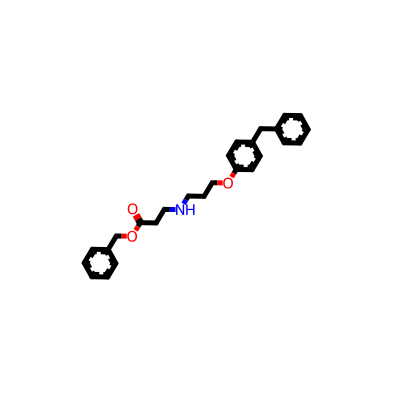 O=C(CCNCCCOc1ccc(Cc2ccccc2)cc1)OCc1ccccc1